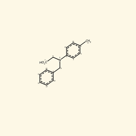 Cc1ccc(N(CC(=O)O)Cc2ccccc2)cc1